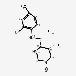 CCc1nc(C(F)(F)F)cnc1NC[C@H]1NC[C@@H](C)O[C@H]1C.Cl